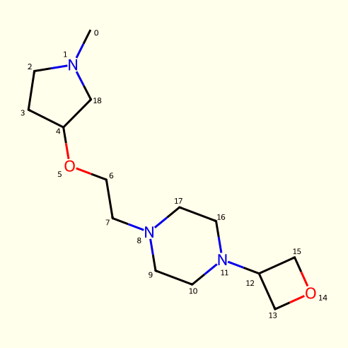 CN1CCC(OCCN2CCN(C3COC3)CC2)C1